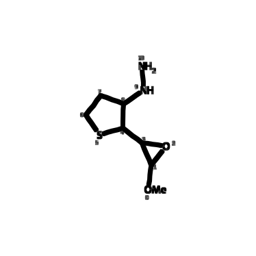 COC1OC1C1SCCC1NN